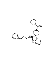 O=C(C1CCCCC1)N1CCC(C(=O)NCCCc2ccccc2)(c2ccccc2)CC1